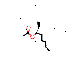 C#C[C@@H](CCCCC)OC(C)=O